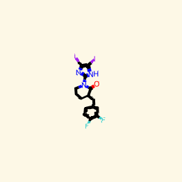 O=C1C(Cc2ccc(F)c(F)c2)CCCN1c1nc(I)c(I)[nH]1